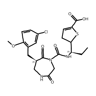 CC[C@@H](NC(=O)N1CC(=O)NC[C@@H](Cc2cc(Cl)ccc2OC)C1=O)C1CC=C(C(=O)O)S1